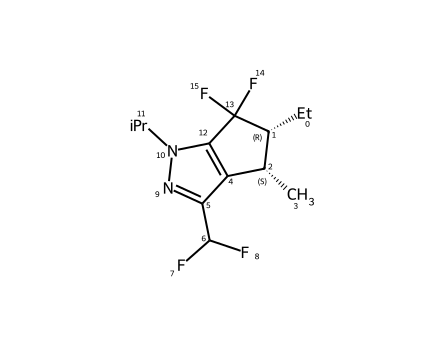 CC[C@@H]1[C@H](C)c2c(C(F)F)nn(C(C)C)c2C1(F)F